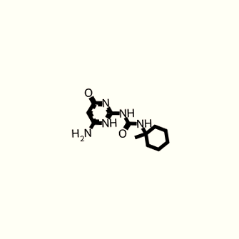 CC1(NC(=O)Nc2nc(=O)cc(N)[nH]2)CCCCC1